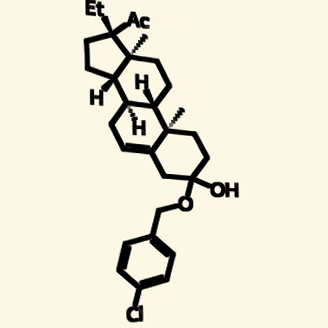 CC[C@]1(C(C)=O)CC[C@H]2[C@@H]3CC=C4CC(O)(OCc5ccc(Cl)cc5)CC[C@]4(C)[C@H]3CC[C@@]21C